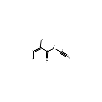 CC=C(C)C(=O)OC#N